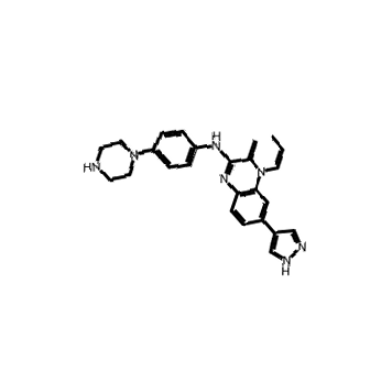 C=C1C(Nc2ccc(N3CCNCC3)cc2)=Nc2ccc(-c3cn[nH]c3)cc2N1/C=C\C